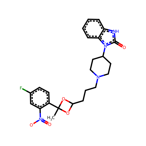 CC1(c2ccc(F)cc2[N+](=O)[O-])OC(CCCN2CCC(n3c(=O)[nH]c4ccccc43)CC2)O1